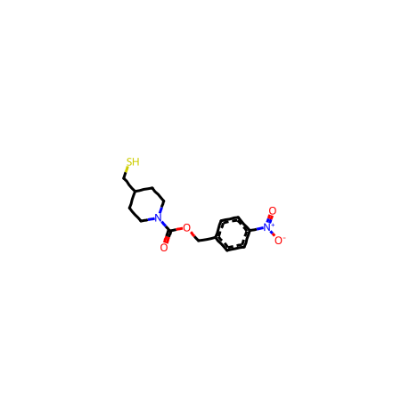 O=C(OCc1ccc([N+](=O)[O-])cc1)N1CCC(CS)CC1